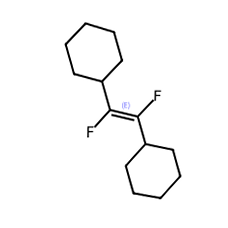 F/C(=C(/F)C1CCCCC1)C1CCCCC1